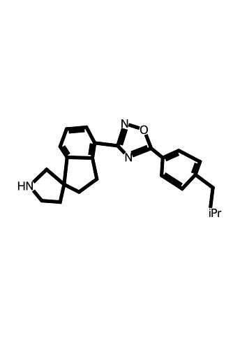 CC(C)Cc1ccc(-c2nc(-c3cccc4c3CCC43CCNC3)no2)cc1